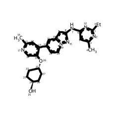 CCc1nc(C)cc(Nc2cc3cc(-c4cc(C)ncc4O[C@H]4CC[C@H](O)CC4)ccn3n2)n1